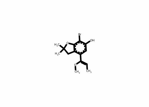 CC=C(OC)c1cc(O)c(Br)c2c1CC(C)(C)O2